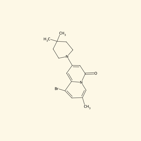 Cc1cc(Br)c2cc(N3CCC(C)(C)CC3)cc(=O)n2c1